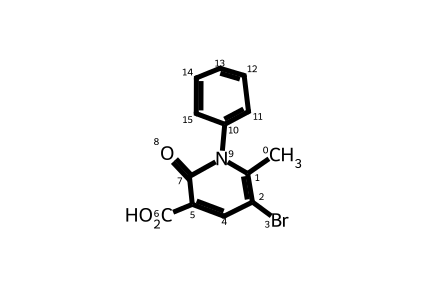 Cc1c(Br)cc(C(=O)O)c(=O)n1-c1ccccc1